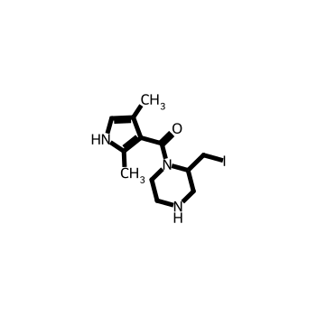 Cc1c[nH]c(C)c1C(=O)N1CCNCC1CI